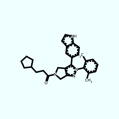 Cc1cccc(C)c1-n1nc2c(c1-c1ccc3[nH]ccc3c1)CN(C(=O)CCC1CCCC1)C2